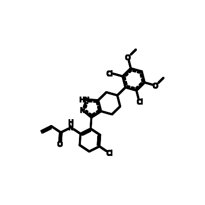 C=CC(=O)NC1=C(c2n[nH]c3c2CCC(c2c(Cl)c(OC)cc(OC)c2Cl)C3)C=C(Cl)CC1